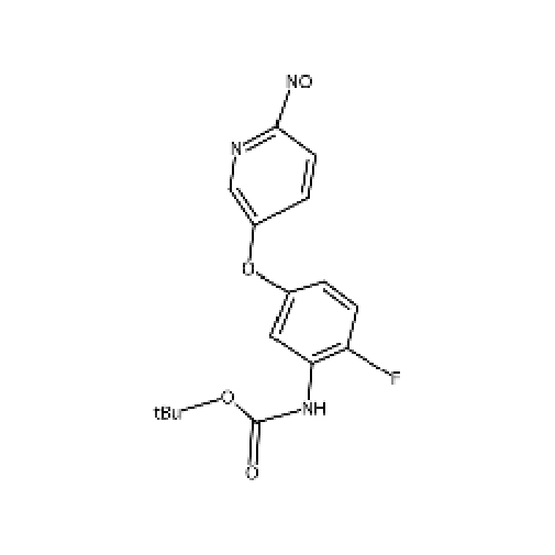 CC(C)(C)OC(=O)Nc1cc(Oc2ccc(N=O)nc2)ccc1F